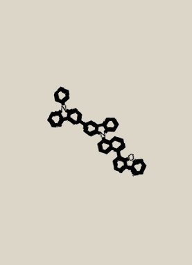 c1ccc(-n2c3ccccc3c3cc(-c4ccc5c(c4)c4ccccc4n5-c4cccc5c(-c6cccc7c6oc6ccccc67)cccc45)ccc32)cc1